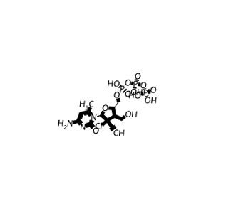 C#CC1(Cl)C(CO)[C@@H](COP(=O)(O)OP(=O)(O)OP(=O)(O)O)O[C@H]1n1c(C)cc(N)nc1=O